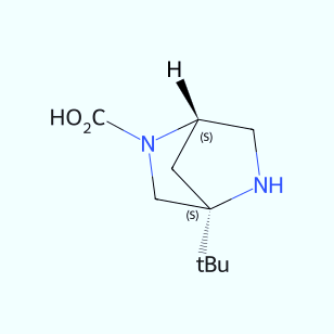 CC(C)(C)[C@]12C[C@@H](CN1)N(C(=O)O)C2